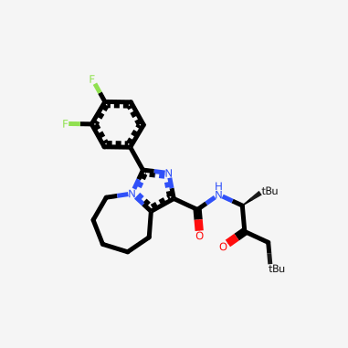 CC(C)(C)CC(=O)[C@@H](NC(=O)c1nc(-c2ccc(F)c(F)c2)n2c1CCCCC2)C(C)(C)C